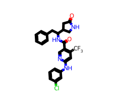 O=C1CC(C(Cc2ccccc2)NC(=O)c2cnc(Nc3cccc(Cl)c3)cc2C(F)(F)F)CN1